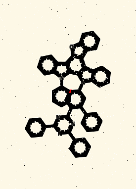 c1ccc(-c2nc(-c3ccccc3)nc(-c3ccc(-n4c5ccccc5c5c6c7ccccc7oc6c6c7ccccc7n(-c7ccccc7)c6c54)cc3-c3ccccc3)n2)cc1